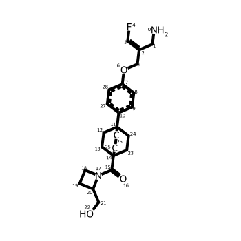 NCC(=CF)COc1ccc(C23CCC(C(=O)N4CCC4CO)(CC2)CC3)cc1